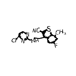 Cc1cc(F)cc2c(CCNc3nccc(Cl)n3)c(C#N)sc12